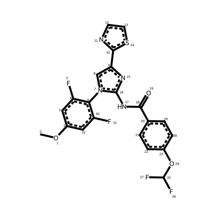 COc1cc(F)c(-n2cc(-c3nccs3)nc2NC(=O)c2ccc(OC(F)F)cc2)c(F)c1